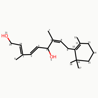 CC(C=CC(O)C(C)=CCC1=C(C)CCCC1(C)C)=CCO